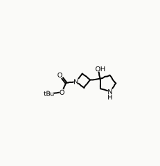 CC(C)(C)OC(=O)N1CC(C2(O)CCNC2)C1